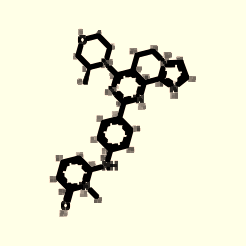 C[C@H]1COCCN1c1nc(-c2ccc(Nc3cccc(=O)n3C)cc2)nc2c1CCn1ccnc1-2